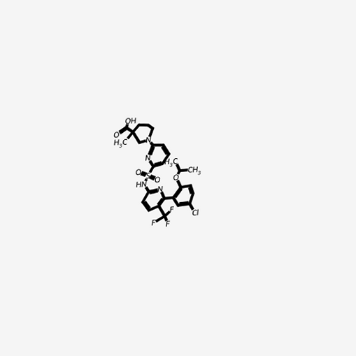 CC(C)Oc1ccc(Cl)cc1-c1nc(NS(=O)(=O)c2cccc(N3CCCC(C)(C(=O)O)C3)n2)ccc1C(F)(F)F